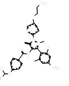 COc1cc(F)c(-c2c(NC(=O)c3ccc(OC(F)F)cc3)c(=O)n(-c3ccc(OCCO)cn3)n2C)c(F)c1